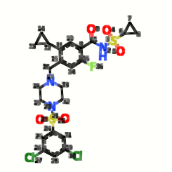 O=C(NS(=O)(=O)C1CC1)c1cc(C2CC2)c(CN2CCN(S(=O)(=O)c3cc(Cl)cc(Cl)c3)CC2)cc1F